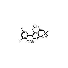 COc1c(F)cc(F)cc1-c1ccc2c(c1CCl)C(C)=CC(C)(C)N2